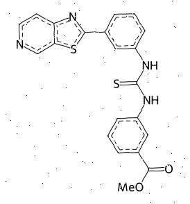 COC(=O)c1cccc(NC(=S)Nc2cccc(-c3nc4ccncc4s3)c2)c1